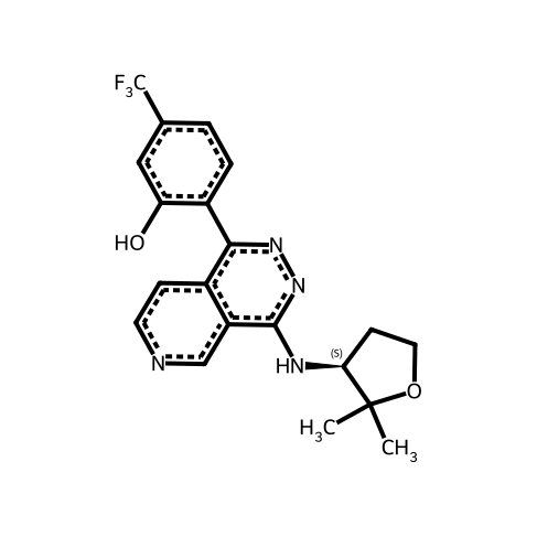 CC1(C)OCC[C@@H]1Nc1nnc(-c2ccc(C(F)(F)F)cc2O)c2ccncc12